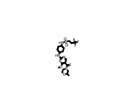 COc1nc(NC2CCC(NS(=O)(=O)CCC(F)(F)F)CC2)ncc1C(=S)N1CCOC(C)C1